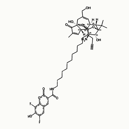 C#CCN(CCCCCCCCCCCCNC(=O)c1cc2cc(F)c(O)c(F)c2oc1=O)C(=O)O[C@@]12[C@H](O)[C@@H](N)[C@@]3(O)[C@@H](C=C(CO)C[C@]4(O)C(=O)C(C)=C[C@@H]34)[C@@H]1C2(C)C